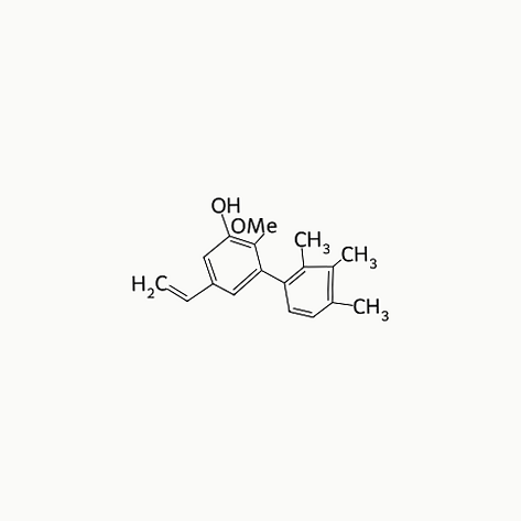 C=Cc1cc(O)c(OC)c(-c2ccc(C)c(C)c2C)c1